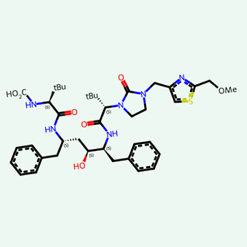 COCc1nc(CN2CCN([C@H](C(=O)N[C@@H](Cc3ccccc3)[C@@H](O)C[C@H](Cc3ccccc3)NC(=O)[C@@H](NC(=O)O)C(C)(C)C)C(C)(C)C)C2=O)cs1